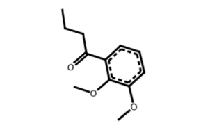 CCCC(=O)c1cccc(OC)c1OC